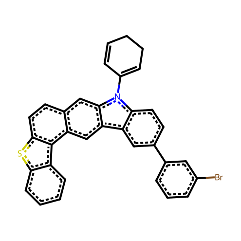 Brc1cccc(-c2ccc3c(c2)c2cc4c(ccc5sc6ccccc6c54)cc2n3C2=CCCC=C2)c1